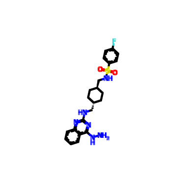 NNc1nc(NC[C@H]2CC[C@H](CNS(=O)(=O)c3ccc(F)cc3)CC2)nc2ccccc12